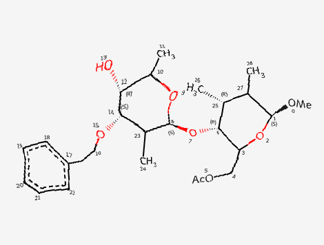 CO[C@H]1OC(COC(C)=O)[C@H](O[C@@H]2OC(C)[C@@H](O)[C@@H](OCc3ccccc3)C2C)[C@H](C)C1C